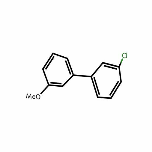 COc1cccc(-c2cccc(Cl)c2)c1